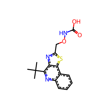 CC(C)(C)c1nc2ccccc2c2sc(CONC(=O)O)nc12